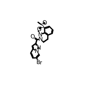 CN1c2c(cccc2S(C)(=O)=O)CCN1C(=O)c1cc2ccc(Br)cn2n1